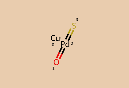 [Cu].[O]=[Pd]=[S]